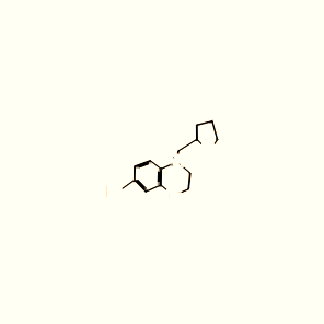 CCc1ccc2c(c1)OCCN2CC1CCCO1